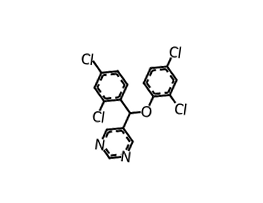 Clc1ccc(OC(c2cncnc2)c2ccc(Cl)cc2Cl)c(Cl)c1